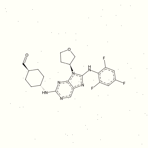 O=C[C@H]1CC[C@H](Nc2ncc3nc(Nc4c(F)cc(F)cc4F)n([C@H]4CCOC4)c3n2)CC1